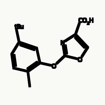 Cc1ccc(C(C)(C)C)cc1Oc1nc(C(=O)O)co1